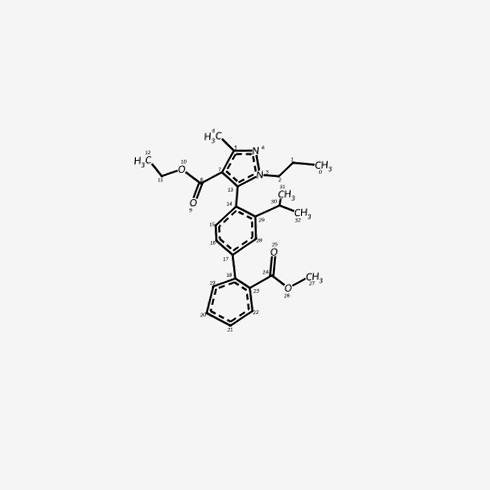 CCCn1nc(C)c(C(=O)OCC)c1-c1ccc(-c2ccccc2C(=O)OC)cc1C(C)C